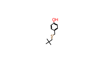 CC(C)(C)CSCc1ccc(O)cc1